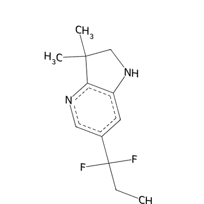 CCC(F)(F)c1cnc2c(c1)NCC2(C)C